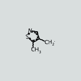 [CH2]c1cnsc1C